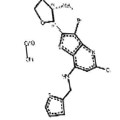 N[C@H]1CCO[C@H]1c1sc2c(NCc3cccs3)cc(Cl)nc2c1Br.O=CO